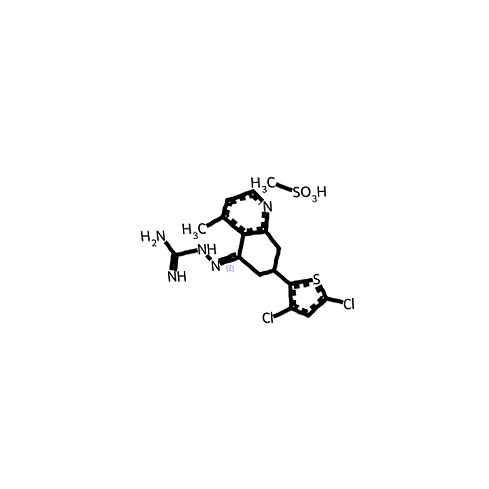 CS(=O)(=O)O.Cc1ccnc2c1/C(=N\NC(=N)N)CC(c1sc(Cl)cc1Cl)C2